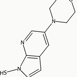 Sn1ccc2cc(N3CCOCC3)cnc21